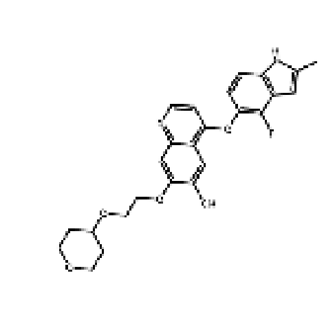 Cc1cc2c(F)c(Oc3ccnc4cc(OCCOC5CCOCC5)c(C#N)cc34)ccc2[nH]1